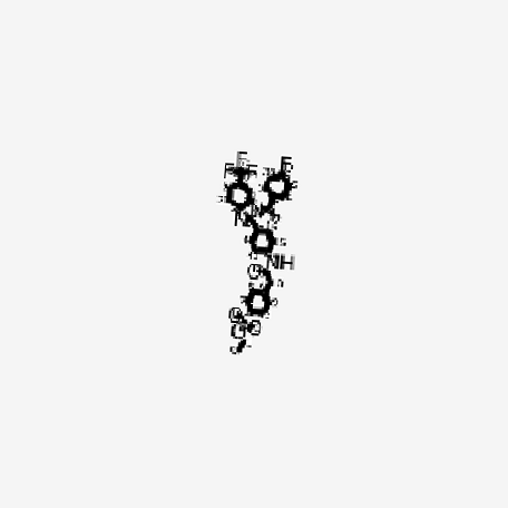 CCOS(=O)(=O)c1ccc(CC(=O)Nc2ccc(-c3nc4ccc(C(F)(F)F)cc4n3[C@H](C)c3ccc(F)cc3)cc2)cc1